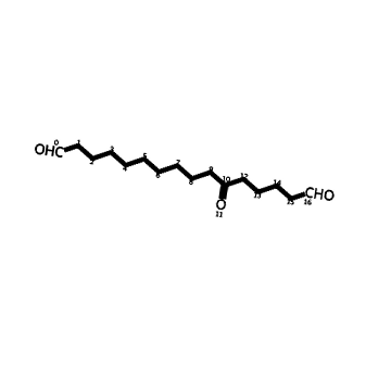 O=CCCCCCCCCCC(=O)CCCCC=O